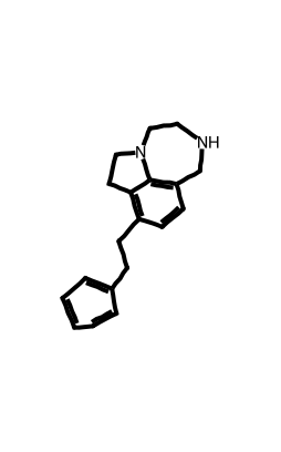 c1ccc(CCc2ccc3c4c2CCN4CCNC3)cc1